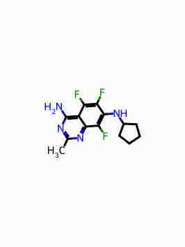 Cc1nc(N)c2c(F)c(F)c(NC3CCCC3)c(F)c2n1